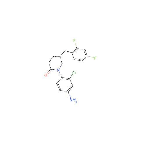 Nc1ccc(N2CC(Cc3ccc(F)cc3F)CCC2=O)c(Cl)c1